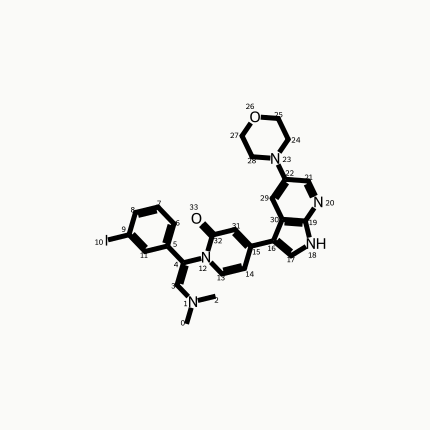 CN(C)/C=C(/c1cccc(I)c1)n1ccc(-c2c[nH]c3ncc(N4CCOCC4)cc23)cc1=O